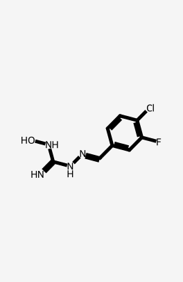 N=C(NO)NN=Cc1ccc(Cl)c(F)c1